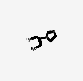 C=CC(=CC)n1ccnc1